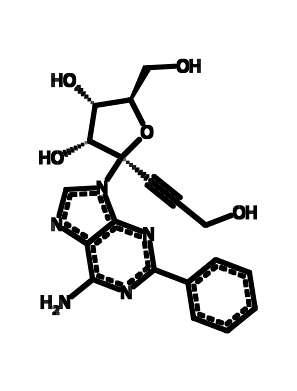 Nc1nc(-c2ccccc2)nc2c1ncn2[C@]1(C#CCO)O[C@H](CO)[C@@H](O)[C@H]1O